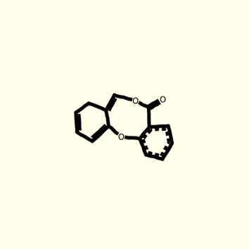 O=C1O/C=C2/CC=CC=C2Oc2ccccc21